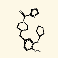 COc1ccc(CC2CCN(C(=O)c3ccco3)CC2)cc1OC1CCCC1